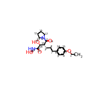 CCOc1ccc(CCC[C@@H](C(=O)N2CCCC2)[C@H](O)C(=O)NO)cc1